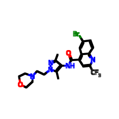 Cc1nn(CCN2CCOCC2)c(C)c1NC(=O)c1cc(C(F)(F)F)nc2ccc(Br)cc12